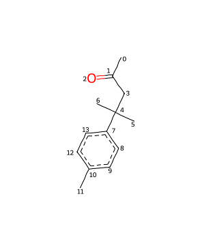 CC(=O)CC(C)(C)c1ccc(C)cc1